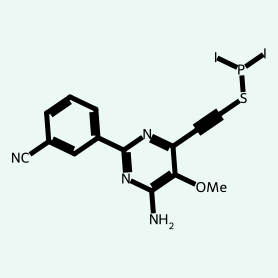 COc1c(N)nc(-c2cccc(C#N)c2)nc1C#CSP(I)I